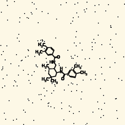 Cc1ccc(C(=O)NCC2C(C)CC(C)(C)CC2NC(=O)c2ccc(C)c(C)c2)cc1C